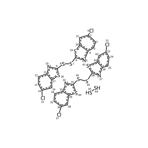 Clc1ccc2nc(SSc3nc4ccc(Cl)cc4s3)sc2c1.Clc1ccc2nc(SSc3nc4ccc(Cl)cc4s3)sc2c1.SS